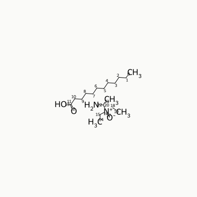 CCCCCCCCCCCC(=O)O.CC[N+]([O-])(CC)C(C)N